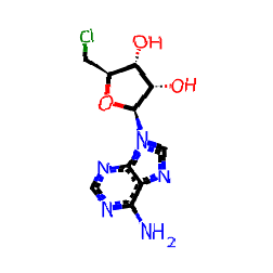 Nc1ncnc2c1ncn2[C@H]1O[C@@H](CCl)[C@H](O)[C@@H]1O